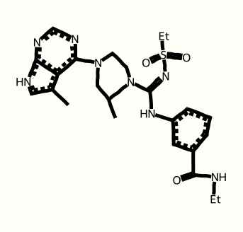 CCNC(=O)c1cccc(NC(=NS(=O)(=O)CC)N2CCN(c3ncnc4[nH]cc(C)c34)CC2C)c1